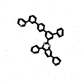 c1ccc(-c2cc(-c3ccc(-c4cccc(-c5cccnc5)c4)cc3)cc(-c3nc(-c4ccccc4)c4ccc(-c5ccccc5)cc4n3)c2)cc1